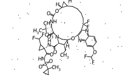 CC[C@@H]1[C@@H]2CN(C(=O)[C@H](C(C)(C)C)NC(=O)O[C@@H]3C[C@H]3CCCCC(F)(F)c3nc4ccc(OC(F)F)cc4nc3O2)[C@@H]1C(=O)N[C@]1(C(=O)NS(=O)(=O)C2(C)CC2)CC1C(F)F